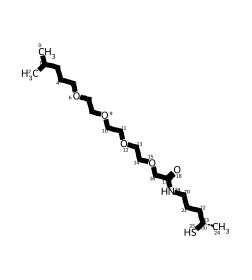 CC(C)CCCOCCOCCOCCOCC(=O)NCCC[C@H](C)S